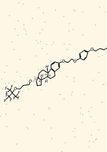 CCCCOc1ccc(OCCOc2ccc3c(c2)CC[C@@H]2[C@@H]3CC[C@]3(C)[C@@H](OCCCOC(C(F)(F)F)(C(F)(F)F)C(F)(F)F)CC[C@@H]23)cc1